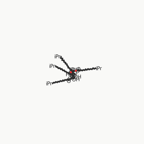 CC(C)CCCCCCCCCCCCCCC(=O)OCC1OC(OC2(COC(=O)CCCCCCCCCCCCCCC(C)C)OC(COC(=O)CCCCCCCCCCCCCCC(C)C)C(O)C2O)C(O)C(OC(=O)CCCCCCCCCCCCCCC(C)C)C1O